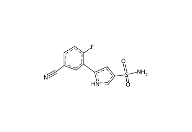 N#Cc1ccc(F)c(-c2cc(S(N)(=O)=O)c[nH]2)c1